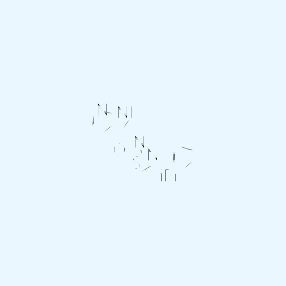 CC(C)c1cs/c(=N\C(=O)c2c[nH]c3ncccc23)n1Cc1ccccc1